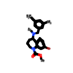 CC(=O)N(Cc1cc(C(F)(F)F)cc(C(F)(F)F)c1)C1CCCN(C(=O)OC(C)C)c2cc(Br)ccc21